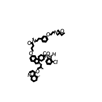 C[C@@H](COc1ccnc2c1[C@H](C)CCC2)C[C@H]1Cc2ccc(OCCCC(=O)N(C)CCc3cccc(OCCN4CC5(CCO5)C4)c3)cc2C12CCC(Nc1cccc(Cl)c1)(C(=O)O)CC2